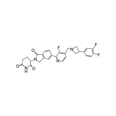 O=C1CCC(N2Cc3cc(-c4nccc(CN5CC(c6ccc(F)c(F)c6)C5)c4F)ccc3C2=O)C(=O)N1